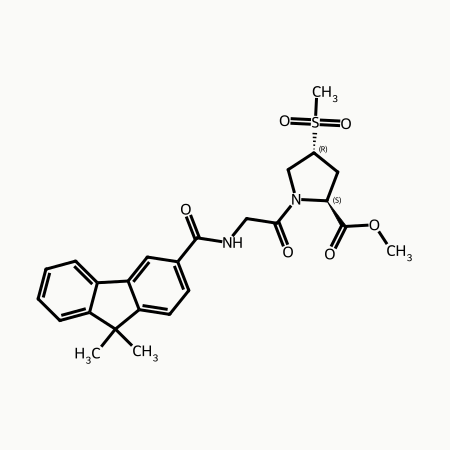 COC(=O)[C@@H]1C[C@@H](S(C)(=O)=O)CN1C(=O)CNC(=O)c1ccc2c(c1)-c1ccccc1C2(C)C